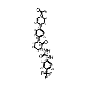 CC(=O)N1CCN(c2ccc(N3CCC[C@@H](NC(=O)Nc4ccc(C(F)(F)F)cc4)C3=O)cc2)CC1